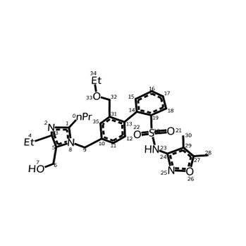 CCCc1nc(CC)c(CO)n1Cc1ccc(-c2ccccc2S(=O)(=O)Nc2noc(C)c2C)c(COCC)c1